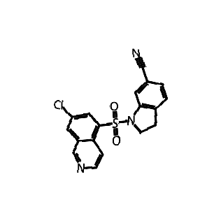 N#Cc1ccc2c(c1)N(S(=O)(=O)c1cc(Cl)cc3cnccc13)CC2